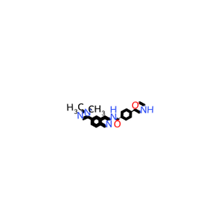 Cc1ncc(-c2ccc3cnc(NC(=O)[C@H]4CC[C@H](C5CNCCO5)CC4)cc3c2)n1C